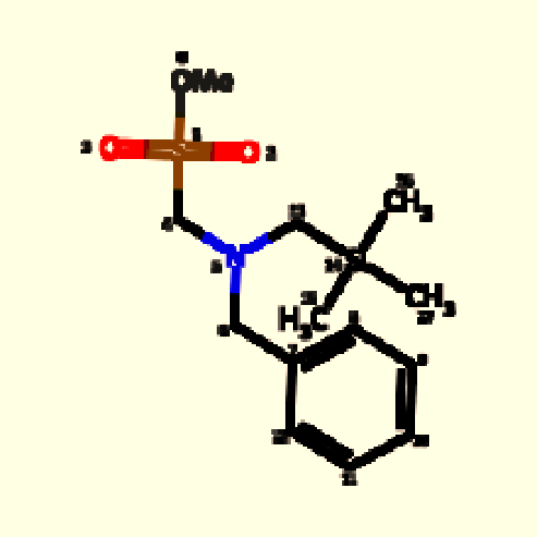 COS(=O)(=O)CN(Cc1ccccc1)C[Si](C)(C)C